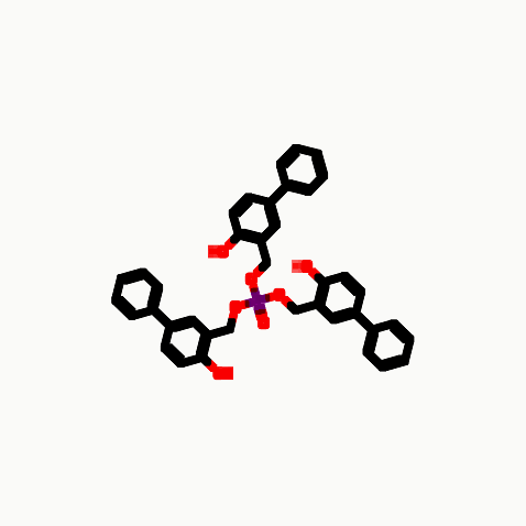 O=P(OCc1cc(-c2ccccc2)ccc1O)(OCc1cc(-c2ccccc2)ccc1O)OCc1cc(-c2ccccc2)ccc1O